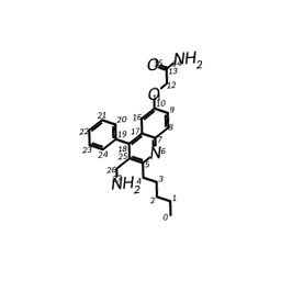 CCCCCc1nc2ccc(OCC(N)=O)cc2c(-c2ccccc2)c1CN